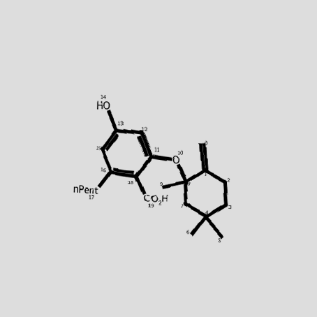 C=C1CCC(C)(C)CC1(C)Oc1cc(O)cc(CCCCC)c1C(=O)O